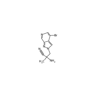 CC(N)(C#N)Cn1cc2c(Br)cncc2n1